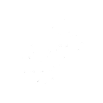 CC1C=CC2C3C=CCCC3C3(C2C1)C1CC(NC2CCCCC2C2C=CC=CC2)C=CC1C1CCCCC13